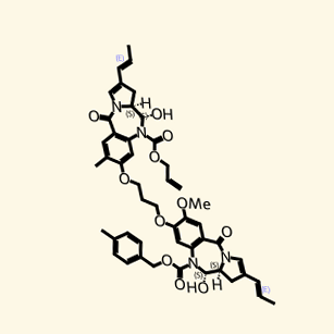 C=CCOC(=O)N1c2cc(OCCCOc3cc4c(cc3OC)C(=O)N3C=C(/C=C/C)C[C@H]3[C@H](O)N4C(=O)OCc3ccc(C)cc3)c(C)cc2C(=O)N2C=C(/C=C/C)C[C@H]2[C@@H]1O